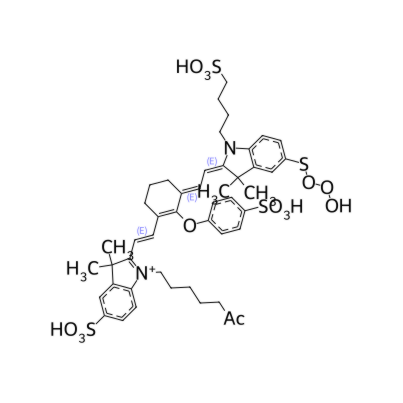 CC(=O)CCCCC[N+]1=C(/C=C/C2=C(Oc3ccc(S(=O)(=O)O)cc3)C(=C/C=C3/N(CCCCS(=O)(=O)O)c4ccc(SOOO)cc4C3(C)C)/CCC2)C(C)(C)c2cc(S(=O)(=O)O)ccc21